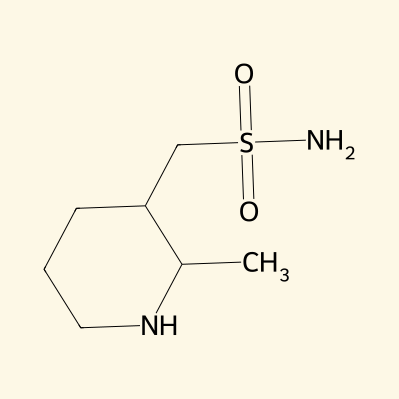 CC1NCCCC1CS(N)(=O)=O